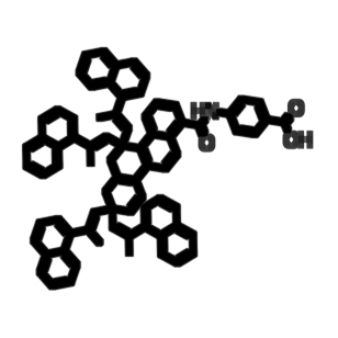 CC(=CC1(C=C(C)c2cccc3ccccc23)C=CC2=C(C1)CC(C=C(C)c1cccc3ccccc13)(C=C(C)c1cccc3ccccc13)c1c2ccc2c(C(=O)Nc3ccc(C(=O)O)cc3)cccc12)c1cccc2ccccc12